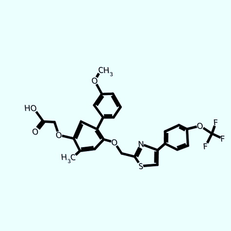 COc1cccc(-c2cc(OCC(=O)O)c(C)cc2OCc2nc(-c3ccc(OC(F)(F)F)cc3)cs2)c1